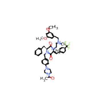 COc1cc(CN(C)CCN(C)C(=O)[C@H](Cc2ccccc2)N(Cc2ccc(N3CCN(C(C)=O)CC3)cc2)C(=O)C=Cc2ccc(C(F)(F)F)cc2)cc(OC)c1